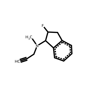 C#CCN(C)C1c2ccccc2CC1F